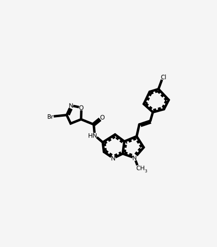 Cn1cc(/C=C/c2ccc(Cl)cc2)c2cc(NC(=O)C3CC(Br)=NO3)cnc21